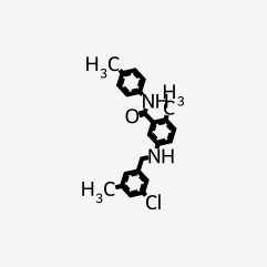 Cc1ccc(NC(=O)c2cc(NCc3cc(C)cc(Cl)c3)ccc2C)cc1